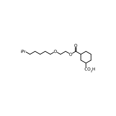 CC(C)CCCCCOCCOC(=O)C1CCCC(C(=O)O)C1